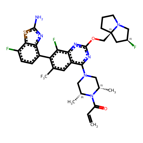 C=CC(=O)N1[C@H](C)CN(c2nc(OC[C@@]34CCCN3C[C@@H](F)C4)nc3c(F)c(-c4ccc(F)c5sc(N)nc45)c(C(F)(F)F)cc23)C[C@@H]1C